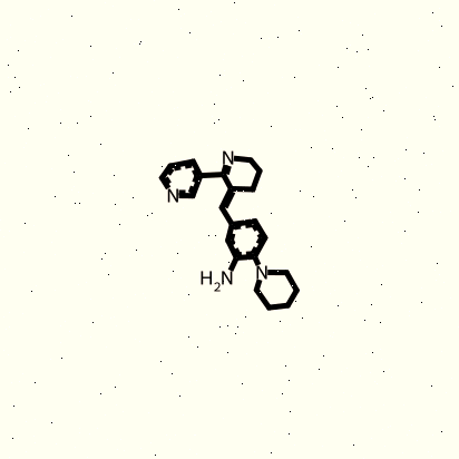 Nc1cc(C=C2CCCN=C2c2cccnc2)ccc1N1CCCCC1